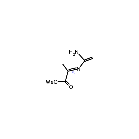 C=C(N)/N=C(\C)C(=O)OC